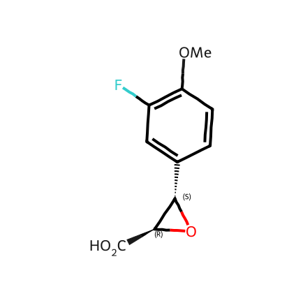 COc1ccc([C@@H]2O[C@H]2C(=O)O)cc1F